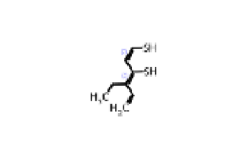 C=C/C(CC)=C(S)/C=C\S